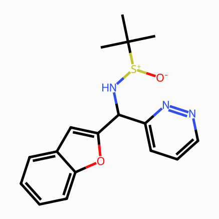 CC(C)(C)[S+]([O-])NC(c1cccnn1)c1cc2ccccc2o1